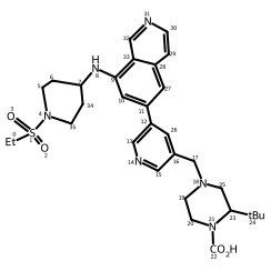 CCS(=O)(=O)N1CCC(Nc2cc(-c3cncc(CN4CCN(C(=O)O)C(C(C)(C)C)C4)c3)cc3ccncc23)CC1